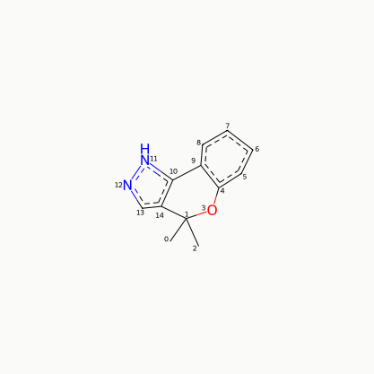 CC1(C)Oc2ccccc2-c2[nH]ncc21